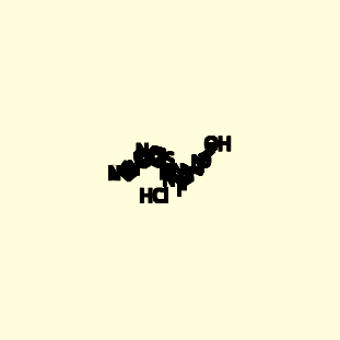 CC(=NOCCO)c1cc(F)c2nnc(Sc3ccc4ncc(N5CC[C@H](N(C)C)C5)cc4c3)n2c1.Cl